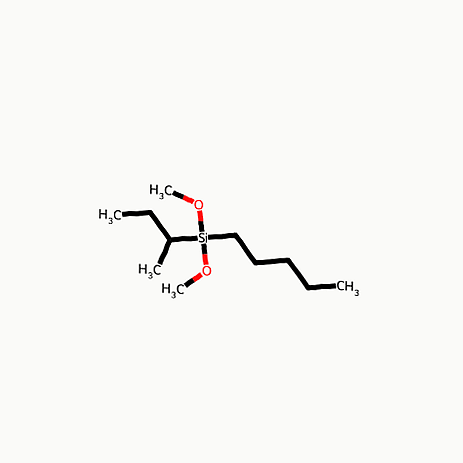 CCCCC[Si](OC)(OC)C(C)CC